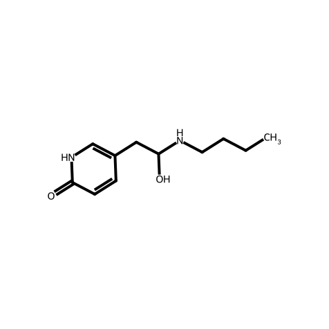 CCCCNC(O)Cc1ccc(=O)[nH]c1